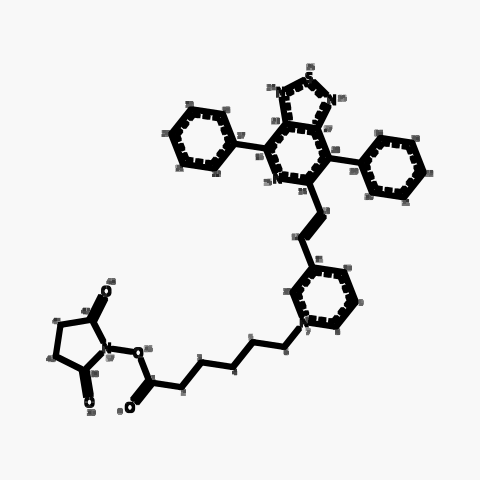 O=C(CCCCC[n+]1cccc(/C=C/c2nc(-c3ccccc3)c3nsnc3c2-c2ccccc2)c1)ON1C(=O)CCC1=O